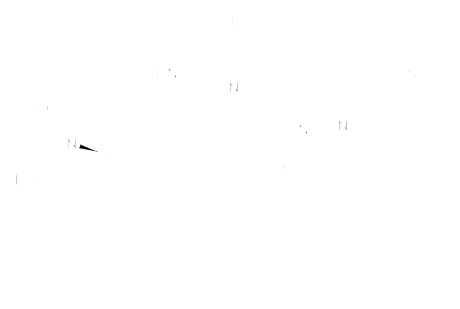 Cn1nc(-c2cccs2)cc1N1C[C@]2(CC[C@](c3cccc(F)c3)(N(C)C)CC2)NC1=O